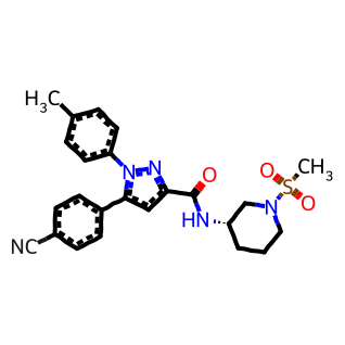 Cc1ccc(-n2nc(C(=O)N[C@H]3CCCN(S(C)(=O)=O)C3)cc2-c2ccc(C#N)cc2)cc1